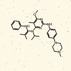 COc1nc(Nc2ccc(N3CCN(C)CC3)cc2)nc(N(C(Nc2ccccc2)=C(C)C)C(C)C)c1C